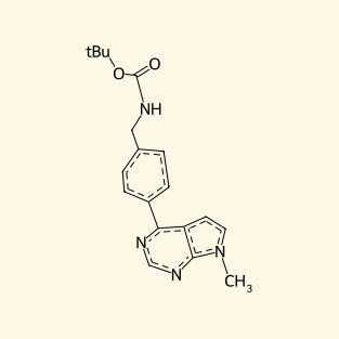 Cn1ccc2c(-c3ccc(CNC(=O)OC(C)(C)C)cc3)ncnc21